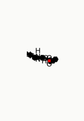 CN1CCN(c2ccc3nc(-c4ccc(OCCCc5c6cc7ccccc7c5C(=O)NC6=O)cc4)[nH]c3c2)CC1